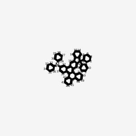 C1=CCCC(C2(c3ccccc3)c3ccccc3-c3cc4c5cc(N(c6ccccc6)c6ccccc6)ccc5c5c6ccccc6c6ccccc6c5c4cc32)=C1